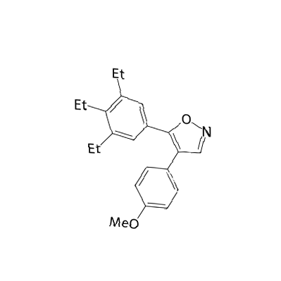 CCc1cc(-c2oncc2-c2ccc(OC)cc2)cc(CC)c1CC